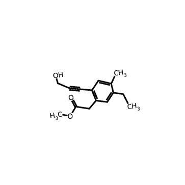 CCc1cc(CC(=O)OC)c(C#CCO)cc1C